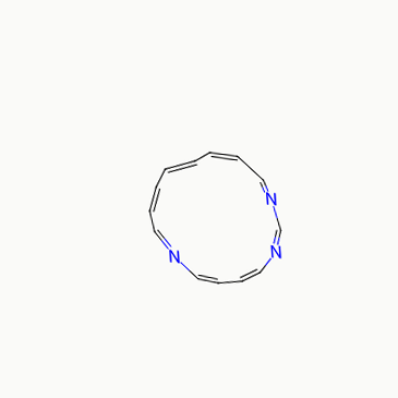 C1=CC=CC=NC=NC=CC=CN=CC=C1